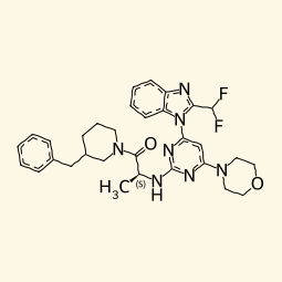 C[C@H](Nc1nc(N2CCOCC2)cc(-n2c(C(F)F)nc3ccccc32)n1)C(=O)N1CCCC(Cc2ccccc2)C1